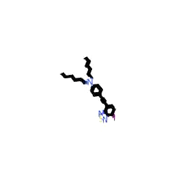 CCCCCCN(CCCCCC)c1ccc(C#Cc2ccc(I)c3nsnc23)cc1